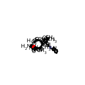 CC[C@H]1OC(=O)[C@@](C)(F)C(=O)[C@H](C)[C@@H](O[C@@H]2O[C@H](COC/C=C/c3cnc4ccccc4c3)CC(N(C)C)C2O)[C@](C)(OC)C[C@@H](C)C(=O)[C@H](C)[C@H]2NC(=O)O[C@@]21n1ccc(N)nc1=O